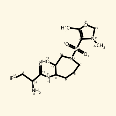 CC1=C(S(=O)(=O)N2CCCC(NC(=O)[C@@H](N)CC(C)C)C(O)C2)N(C)CO1